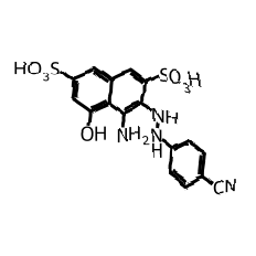 N#Cc1ccc(NNc2c(S(=O)(=O)O)cc3cc(S(=O)(=O)O)cc(O)c3c2N)cc1